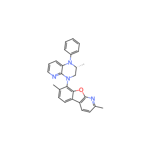 Cc1ccc2c(n1)oc1c(N3C[C@@H](C)N(c4ccccc4)c4cccnc43)c(C)ccc12